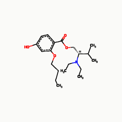 CCCCOc1cc(O)ccc1C(=O)OC[C@H](C(C)C)N(CC)CC